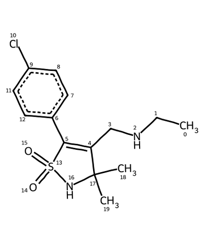 CCNCC1=C(c2ccc(Cl)cc2)S(=O)(=O)NC1(C)C